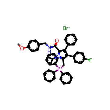 COc1ccc(CNC(=O)c2c(-c3ccccc3)c(-c3ccc(F)cc3)c(C[P+](c3ccccc3)(c3ccccc3)c3ccccc3)n2C(C)C)cc1.[Br-]